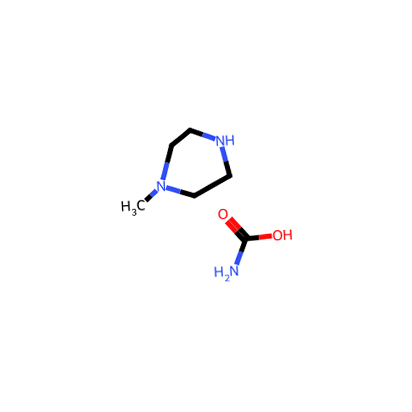 CN1CCNCC1.NC(=O)O